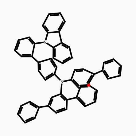 c1ccc(-c2ccc(N(c3ccc(-c4ccccc4-n4c5ccccc5c5ccccc54)cc3)c3cc(-c4ccccc4)ccc3-c3ccccc3)cc2)cc1